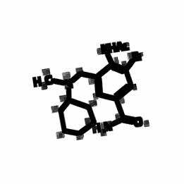 CC(=O)Nc1c(Br)cc(C(N)=O)cc1CN(C)C1CCCCC1